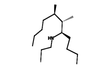 CCCC[C@@H](C)[C@H](C)[C@@H](CCCC)NCCC